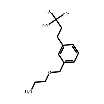 CCCC(C)(CCC)CCc1cccc(COCCN)c1